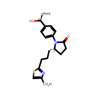 CCCCC[C@H](O)c1ccc(N2C(=O)CC[C@@H]2CCCc2nc(C(=O)O)cs2)cc1